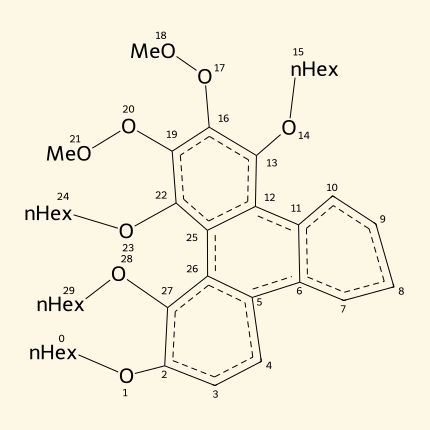 CCCCCCOc1ccc2c3ccccc3c3c(OCCCCCC)c(OOC)c(OOC)c(OCCCCCC)c3c2c1OCCCCCC